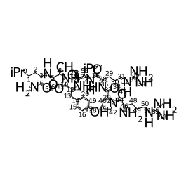 CC(C)CCC(NC(=O)C(C)NC(=O)C(Cc1ccc(O)cc1)NC(=O)C(NC(=O)C(CCCNC(=N)N)NC(=O)C1CCCN1C(=O)C(N)CCCNC(=N)N)C(C)C)C(N)=O